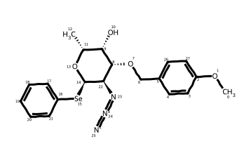 COc1ccc(CO[C@H]2[C@@H](O)[C@@H](C)O[C@H]([Se]c3ccccc3)[C@@H]2N=[N+]=[N-])cc1